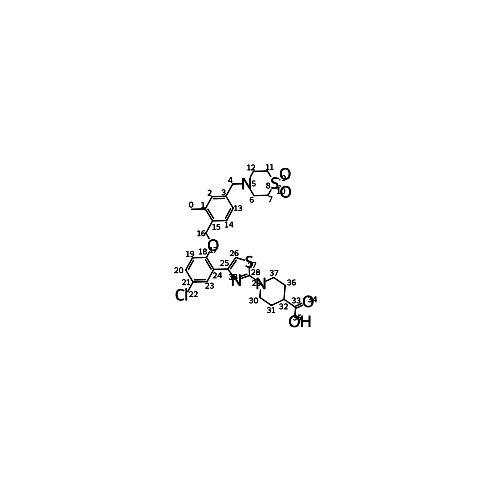 Cc1cc(CN2CCS(=O)(=O)CC2)ccc1COc1ccc(Cl)cc1-c1csc(N2CCC(C(=O)O)CC2)n1